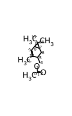 CC(=O)OCC1CC2C(C=C1C)C2(C)C